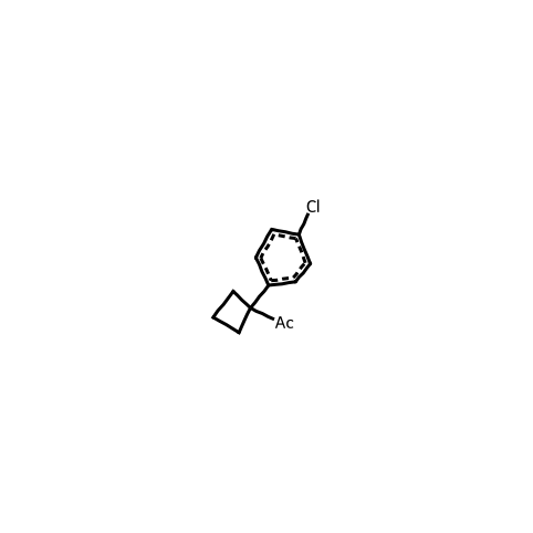 CC(=O)C1(c2ccc(Cl)cc2)CCC1